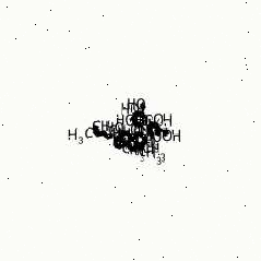 C=C(CCC=C(C)C)[C@H]1CC[C@]2(C)[C@@H]1[C@H](O)C[C@@H]1[C@@]3(C)CC[C@H](O[C@H]4O[C@H](CO)[C@@H](O)[C@H](O)[C@H]4O[C@@H]4O[C@H](CO)[C@@H](O)[C@H](O)[C@H]4O)C(C)(C)[C@@H]3CC[C@]12C